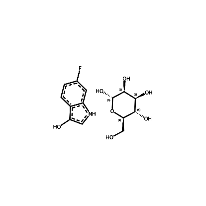 OC[C@H]1O[C@H](O)[C@@H](O)[C@@H](O)[C@@H]1O.Oc1c[nH]c2cc(F)ccc12